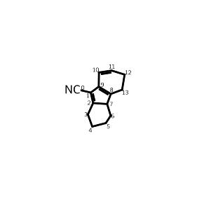 N#CC1=C2CCCCC2C2=C1C=CCC2